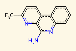 Nc1nc2ccccc2c2ccc(C(F)(F)F)nc12